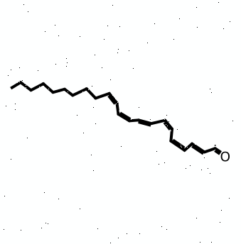 CCCCCCCCC\C=C/C=C\C=C\C=C/C=C\C=C\[C]=O